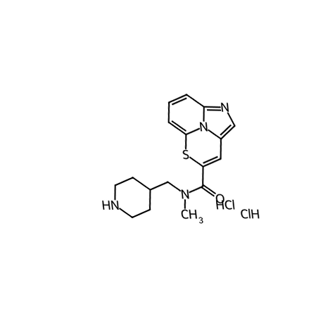 CN(CC1CCNCC1)C(=O)C1=Cc2cnc3cccc(n23)S1.Cl.Cl